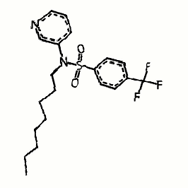 CCCCCCCCN(c1cccnc1)S(=O)(=O)c1ccc(C(F)(F)F)cc1